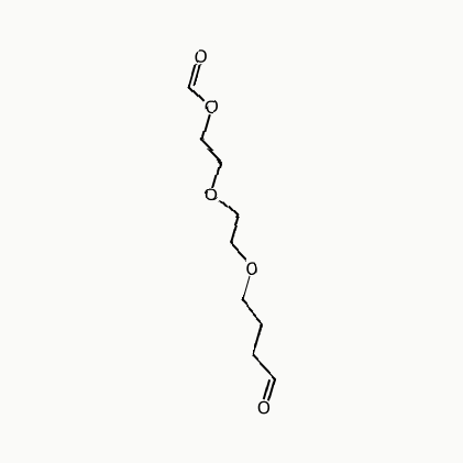 O=CCCCOCCOCCOC=O